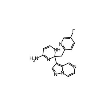 NC1=NC(Cc2ccc(F)cn2)(c2cnn3ccncc23)NC=C1